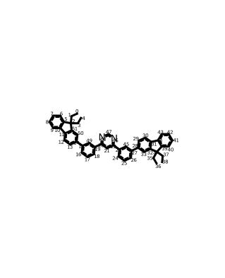 CCC1(CC)c2ccccc2-c2ccc(-c3cccc(-c4cc(-c5cccc(-c6ccc7c(c6)C(CC)(CC)c6ccccc6-7)c5)ncn4)c3)cc21